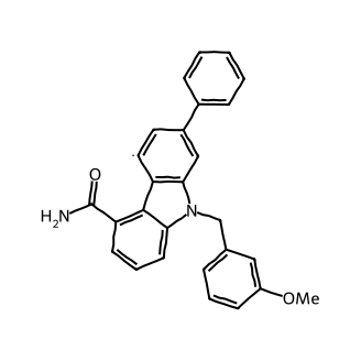 COc1cccc(Cn2c3cc(-c4ccccc4)c[c]c3c3c(C(N)=O)cccc32)c1